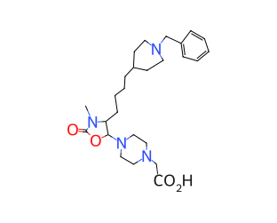 CN1C(=O)OC(N2CCN(CC(=O)O)CC2)C1CCCCC1CCN(Cc2ccccc2)CC1